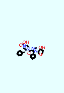 O=C(O)N1CCN(C(=O)c2ncn([C@H]3COCC[C@@H]3O)c2-c2ccccc2)[C@H](Cc2ccccc2)C1